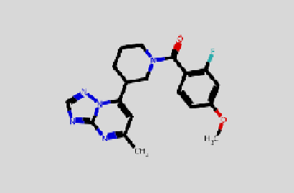 COc1ccc(C(=O)N2CCCC(c3cc(C)nc4ncnn34)C2)c(F)c1